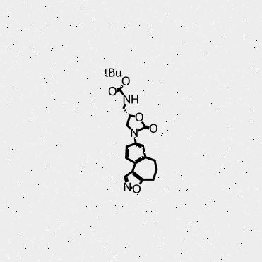 CC(C)(C)OC(=O)NC[C@H]1CN(c2ccc3c(c2)CCCc2oncc2-3)C(=O)O1